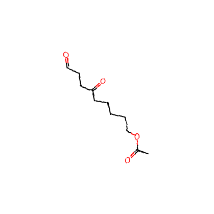 CC(=O)OCCCCCC(=O)CCC=O